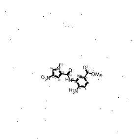 COC(=O)c1ccc(N)c(NC(=O)c2cc([N+](=O)[O-])cn2C)n1